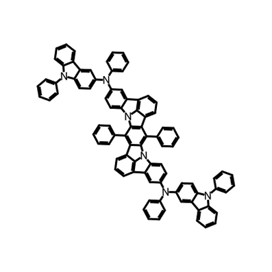 c1ccc(-c2c3c4cccc5c6cc(N(c7ccccc7)c7ccc8c(c7)c7ccccc7n8-c7ccccc7)ccc6n(c3c(-c3ccccc3)c3c6cccc7c8cc(N(c9ccccc9)c9ccc%10c(c9)c9ccccc9n%10-c9ccccc9)ccc8n(c23)c76)c54)cc1